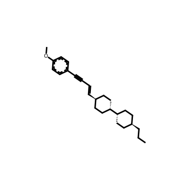 CCC[C@H]1CC[C@H]([C@H]2CC[C@H](C=CC#Cc3ccc(OC)cc3)CC2)CC1